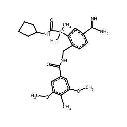 COc1cc(C(=O)NCc2ccc(C(=N)N)cc2[N+](C)(C)C(=O)NC2CCCC2)cc(OC)c1C